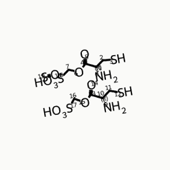 N[C@@H](CS)C(=O)OCS(=O)(=O)O.N[C@@H](CS)C(=O)OCS(=O)(=O)O.O=S